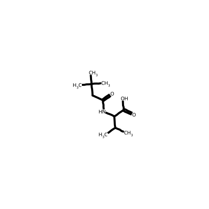 CC(C)C(NC(=O)CC(C)(C)C)C(=O)O